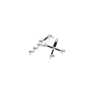 CC#N.O=P(O)(O)O.[KH].[KH].[KH]